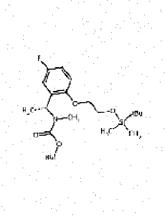 C[C@H](c1cc(F)ccc1OCCO[Si](C)(C)C(C)(C)C)N(C)C(=O)OC(C)(C)C